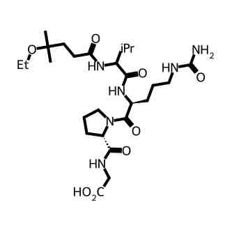 CCOC(C)(C)CCC(=O)NC(C(=O)N[C@@H](CCCNC(N)=O)C(=O)N1CCC[C@H]1C(=O)NCC(=O)O)C(C)C